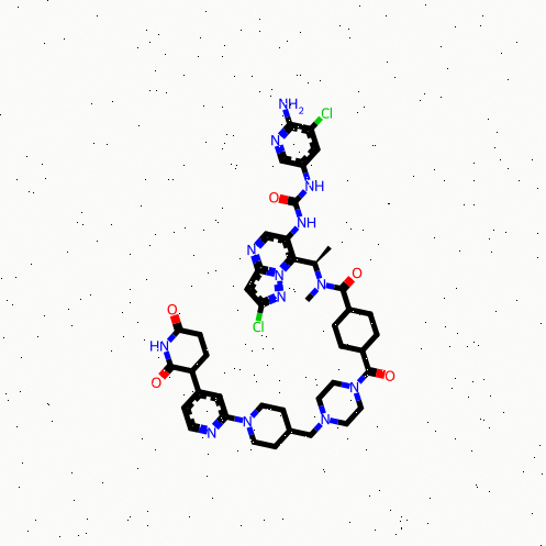 C[C@H](c1c(NC(=O)Nc2cnc(N)c(Cl)c2)cnc2cc(Cl)nn12)N(C)C(=O)C1CCC(C(=O)N2CCN(CC3CCN(c4cc(C5CCC(=O)NC5=O)ccn4)CC3)CC2)CC1